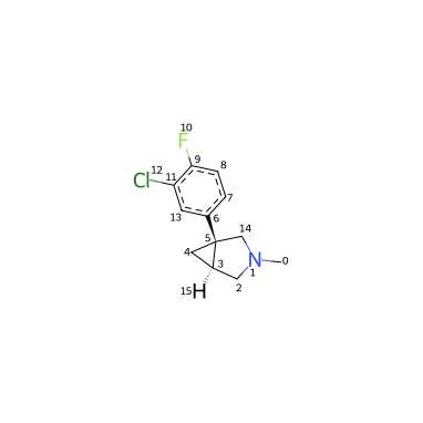 CN1C[C@H]2C[C@]2(c2ccc(F)c(Cl)c2)C1